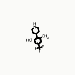 Cc1cc(C(F)(F)F)ccc1C1CCNCC1.Cl